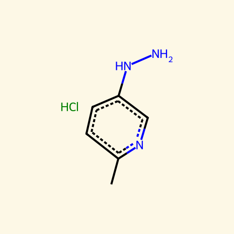 Cc1ccc(NN)cn1.Cl